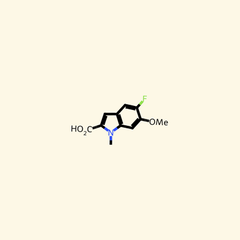 COc1cc2c(cc1F)cc(C(=O)O)n2C